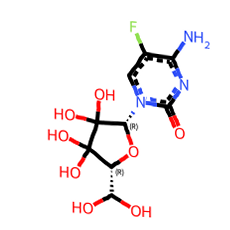 Nc1nc(=O)n([C@@H]2O[C@H](C(O)O)C(O)(O)C2(O)O)cc1F